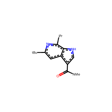 CNC(=O)c1c[nH]c2c(C(C)C)nc(C(C)(C)C)cc12